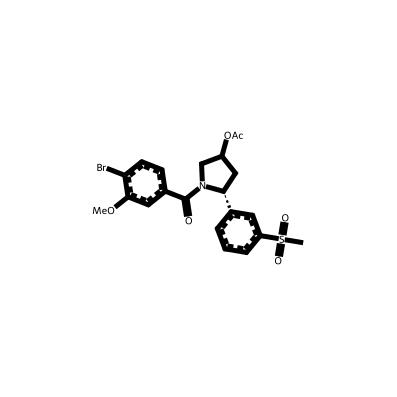 COc1cc(C(=O)N2CC(OC(C)=O)C[C@@H]2c2cccc(S(C)(=O)=O)c2)ccc1Br